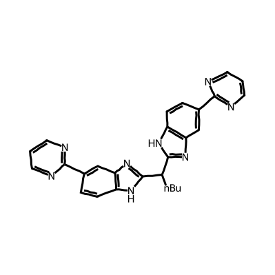 CCCCC(c1nc2cc(-c3ncccn3)ccc2[nH]1)c1nc2cc(-c3ncccn3)ccc2[nH]1